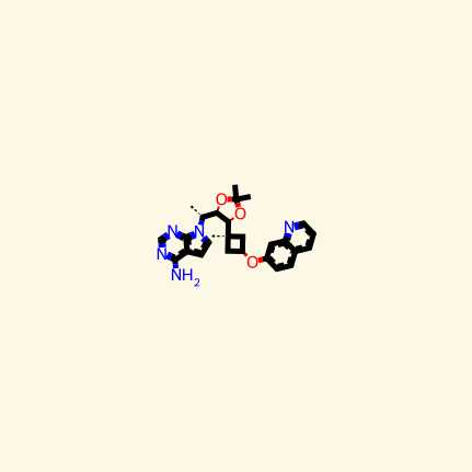 C[C@H]([C@@H]1OC(C)(C)O[C@@H]1[C@]1(C)C[C@H](Oc2ccc3cccnc3c2)C1)n1ccc2c(N)ncnc21